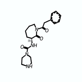 O=C(N[C@H]1CCCCN(C(=O)Cc2ccccc2)C1=O)N1CCNCC1